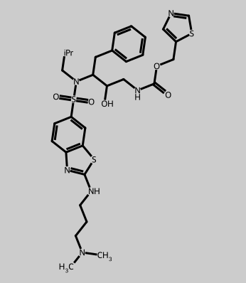 CC(C)CN(C(Cc1ccccc1)C(O)CNC(=O)OCc1cncs1)S(=O)(=O)c1ccc2nc(NCCCN(C)C)sc2c1